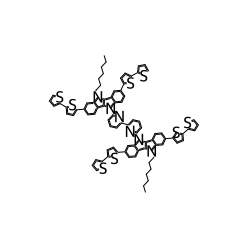 CCCCCCCn1c2cc(-c3ccc(-c4cccs4)s3)ccc2c2c1c1cc(-c3ccc(-c4cccs4)s3)ccc1n2-c1cccc(-c2cccc(-n3c4cc(-c5ccc(-c6cccs6)s5)ccc4c4c3c3ccc(-c5ccc(-c6cccs6)s5)cc3n4CCCCCCC)n2)n1